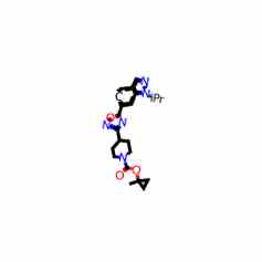 CC(C)n1ncc2ccc(-c3nc(C4CCN(C(=O)OC5(C)CC5)CC4)no3)cc21